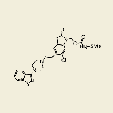 CSNC(=O)OCN1C(=O)Cc2cc(CCN3CCN(c4nsc5ccccc45)CC3)c(Cl)cc21